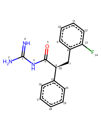 N=C(N)NC(=O)[C@@H](Cc1ccccc1F)c1ccccc1